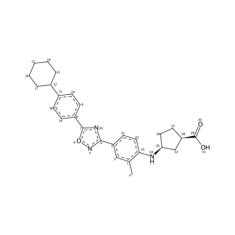 Cc1cc(-c2noc(-c3ccc(C4CCCCC4)cc3)n2)ccc1N[C@H]1CC[C@@H](C(=O)O)C1